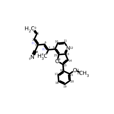 C=C/C=C(C#N)\C=C(/C)c1ccnc2cc(-c3ccccc3OC)oc12